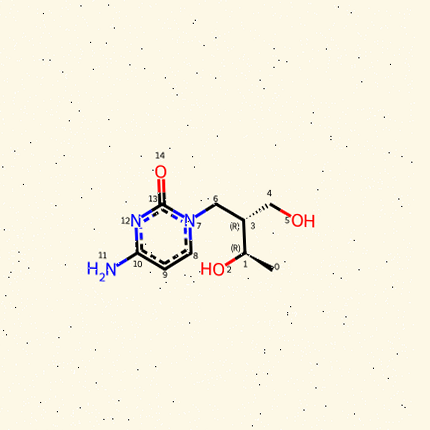 C[C@@H](O)[C@@H](CO)Cn1ccc(N)nc1=O